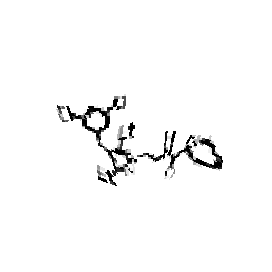 CCc1nn(CCNC(=O)c2ccccn2)c(CC)c1Cc1cc(Cl)cc(Cl)c1